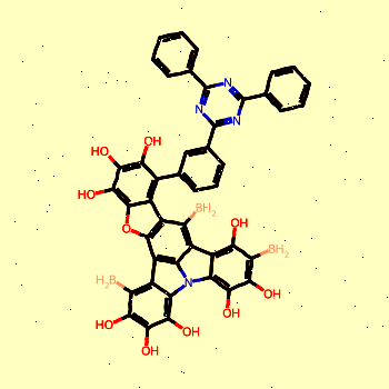 Bc1c(O)c(O)c2c(c1O)c1c(B)c3c(oc4c(O)c(O)c(O)c(-c5cccc(-c6nc(-c7ccccc7)nc(-c7ccccc7)n6)c5)c43)c3c4c(B)c(O)c(O)c(O)c4n2c13